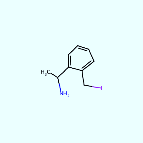 CC(N)c1ccccc1CI